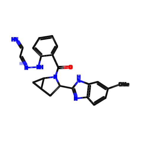 COc1ccc2nc(C3CC4CC4N3C(=O)c3ccccc3N/N=C\C=N)[nH]c2c1